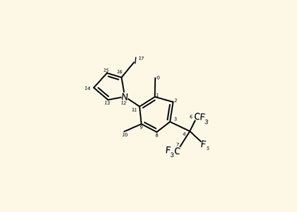 Cc1cc(C(F)(C(F)(F)F)C(F)(F)F)cc(C)c1-n1cccc1I